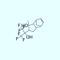 CC1(O)C2C3C=CC(C3)C2CC1C(O)(C(F)(F)F)C(F)(F)F